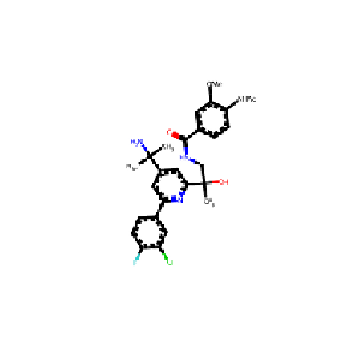 COc1cc(C(=O)NCC(O)(c2cc(C(C)(C)N)cc(-c3ccc(F)c(Cl)c3)n2)C(F)(F)F)ccc1NC(C)=O